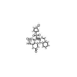 CCNC1=C(N(C=O)NS(=O)(=O)c2ccc(Cl)s2)C(C2NC=Cc3ccccc32)=CC(=O)C1